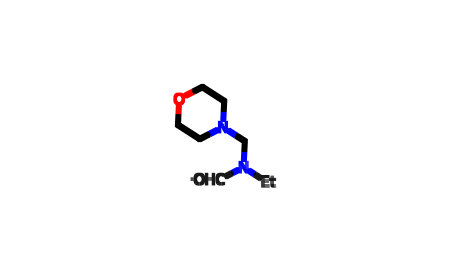 CCN([C]=O)CN1CCOCC1